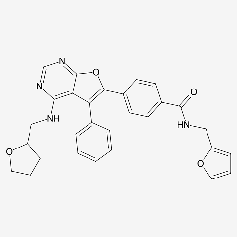 O=C(NCc1ccco1)c1ccc(-c2oc3ncnc(NCC4CCCO4)c3c2-c2ccccc2)cc1